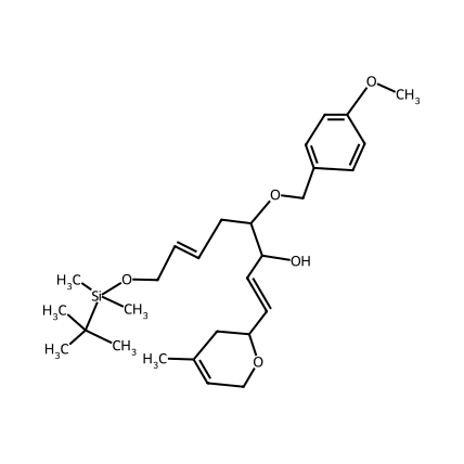 COc1ccc(COC(C/C=C/CO[Si](C)(C)C(C)(C)C)C(O)/C=C/C2CC(C)=CCO2)cc1